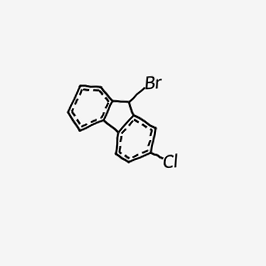 Clc1ccc2c(c1)C(Br)c1ccccc1-2